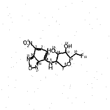 O=[N+]([O-])c1ccc(NC2COC(CF)C(O)C2O)c2nonc12